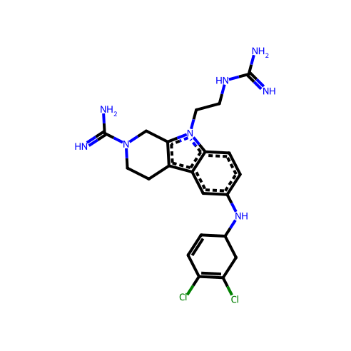 N=C(N)NCCn1c2c(c3cc(NC4C=CC(Cl)=C(Cl)C4)ccc31)CCN(C(=N)N)C2